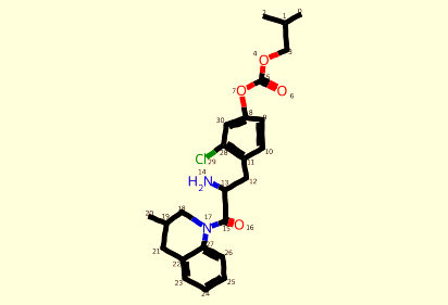 CC(C)COC(=O)Oc1ccc(CC(N)C(=O)N2CC(C)Cc3ccccc32)c(Cl)c1